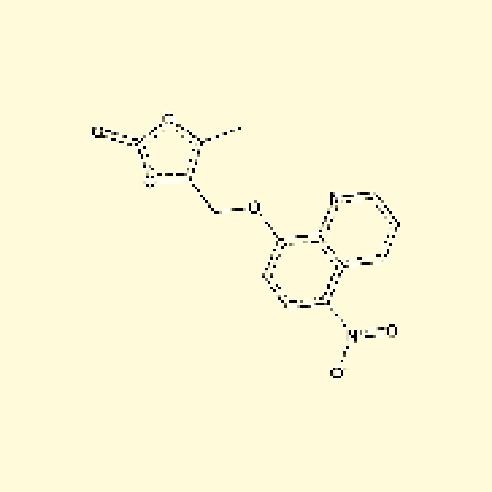 Cc1oc(=O)oc1COc1ccc([N+](=O)[O-])c2cccnc12